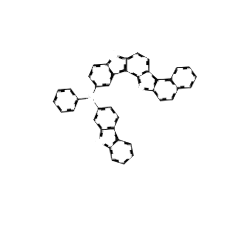 c1ccc(N(c2ccc3c(c2)oc2ccccc23)c2ccc3oc4ccc5c(sc6ccc7ccccc7c65)c4c3c2)cc1